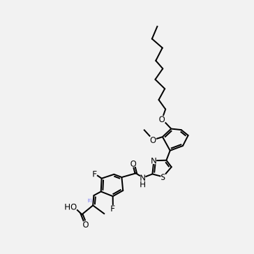 CCCCCCCCCOc1cccc(-c2csc(NC(=O)c3cc(F)c(/C=C(\C)C(=O)O)c(F)c3)n2)c1OC